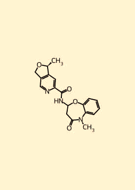 C[C@@H]1OCc2cnc(C(=O)NC3CC(=O)N(C)c4ccccc4O3)cc21